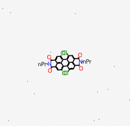 CCCN1C(=O)c2cc(Cl)c3c4c(Cl)cc5c6c(cc(Cl)c(c7c(Cl)cc(c2c37)C1=O)c64)C(=O)N(CCC)C5=O